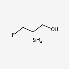 OCCCF.[SiH4]